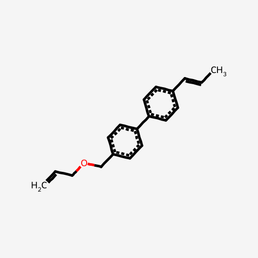 C=CCOCc1ccc(-c2ccc(C=CC)cc2)cc1